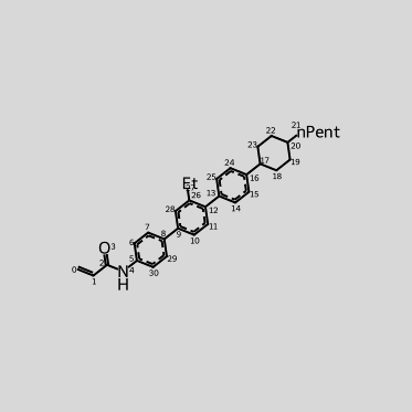 C=CC(=O)Nc1ccc(-c2ccc(-c3ccc(C4CCC(CCCCC)CC4)cc3)c(CC)c2)cc1